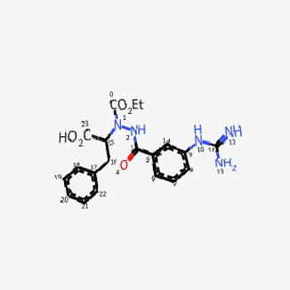 CCOC(=O)N(NC(=O)c1cccc(NC(=N)N)c1)C(Cc1ccccc1)C(=O)O